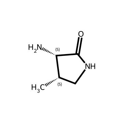 C[C@H]1CNC(=O)[C@H]1N